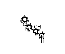 Oc1cc(-c2cc[nH]n2)ccc1-c1ccc(O[C@@H]2CCCC[C@@H]2F)nn1